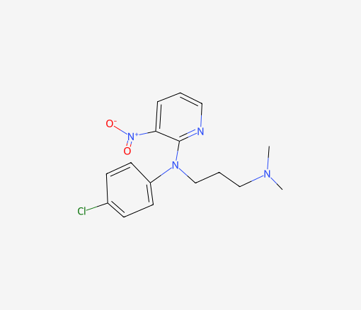 CN(C)CCCN(c1ccc(Cl)cc1)c1ncccc1[N+](=O)[O-]